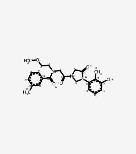 COCCN(CC(=O)N1CC(=O)N(c2cccc(Cl)c2C)C1)C(=O)c1cccc(C)c1